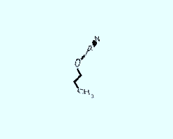 CCCO[P]#N